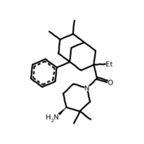 CCC1(C(=O)N2CC[C@H](N)C(C)(C)C2)CC2CC(c3ccccc3)(CC(C)C2C)C1